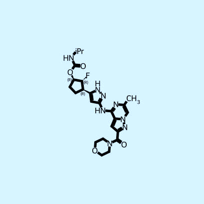 Cc1cn2nc(C(=O)N3CCOCC3)cc2c(Nc2cc([C@H]3CC[C@@H](OC(=O)NC(C)C)[C@@H]3F)[nH]n2)n1